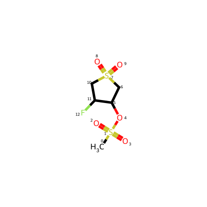 CS(=O)(=O)OC1CS(=O)(=O)CC1F